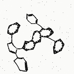 C1=CCCC(C2=CCC(c3ccccc3)N2c2ccc3cc4c(-c5ccccc5)ccc(C5=CC=CCC5)c4cc3c2)=C1